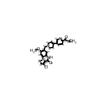 CNC(=O)c1ccc(C2=CCN(Cc3cc4[nH]c(=O)c5c(Cl)cnn5c4cc3OC)CC2)cn1